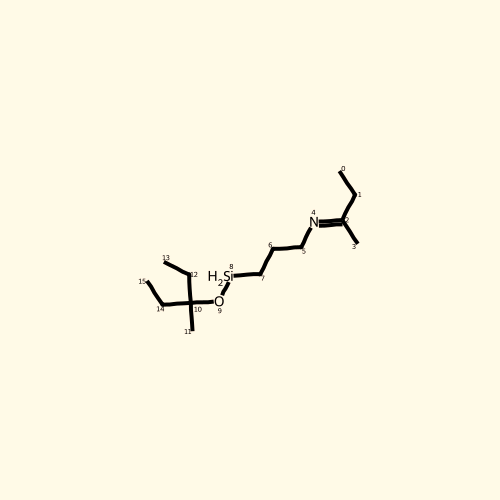 CCC(C)=NCCC[SiH2]OC(C)(CC)CC